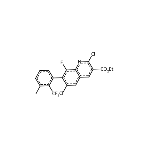 CCOC(=O)c1cc2cc(Cl)c(-c3cccc(C)c3C(F)(F)F)c(F)c2nc1Cl